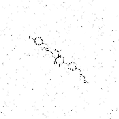 COCOCc1ccc(C(F)Cn2ccc(OCc3ccc(F)cc3)cc2=O)cc1